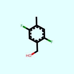 Cc1cc(F)c(CO)cc1F